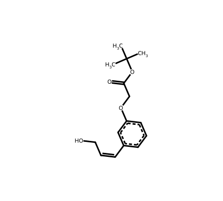 CC(C)(C)OC(=O)COc1cccc(/C=C\CO)c1